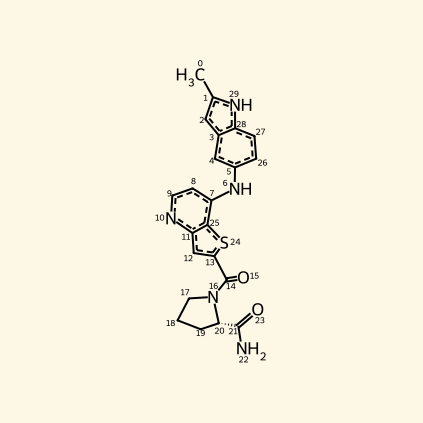 Cc1cc2cc(Nc3ccnc4cc(C(=O)N5CCC[C@H]5C(N)=O)sc34)ccc2[nH]1